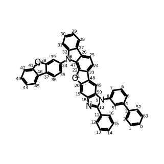 c1ccc(-c2cccc(-n3c(-c4ccccc4)nc4cc5oc6c(ccc7c8ccccc8n(-c8ccc9c(c8)oc8ccccc89)c76)c5cc43)c2)cc1